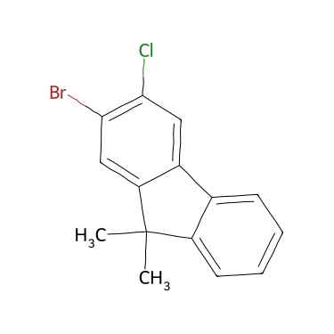 CC1(C)c2ccccc2-c2cc(Cl)c(Br)cc21